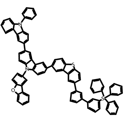 c1ccc(-n2c3ccccc3c3cc(-c4ccc5c(c4)c4cc(-c6ccc7sc8ccc(-c9cccc(-c%10cccc([Si](c%11ccccc%11)(c%11ccccc%11)c%11ccccc%11)c%10)c9)cc8c7c6)ccc4n5-c4ccc5oc6ccccc6c5c4)ccc32)cc1